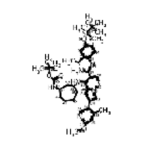 CCc1cc(O[Si](C)(C)C(C)(C)C)ccc1/N=C(\N)c1cnn2cc(-c3cnc(OC)cc3C)cc2c1NC1CCCCC(NC(=O)OC(C)(C)C)C1